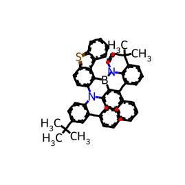 CC(C)(C)c1ccc(N2c3cc4ccccc4c4c3B(c3c2ccc2sc5ccccc5c32)N2c3ccccc3C(C)(C)c3cccc-4c32)c(-c2ccccc2)c1